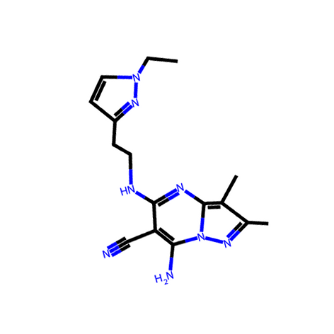 CCn1ccc(CCNc2nc3c(C)c(C)nn3c(N)c2C#N)n1